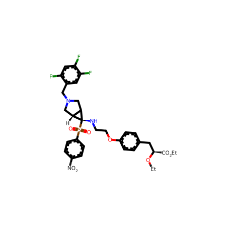 CCOC(=O)[C@H](Cc1ccc(OCCN[C@]2(S(=O)(=O)c3ccc([N+](=O)[O-])cc3)C3CN(Cc4cc(F)c(F)cc4F)C[C@H]32)cc1)OCC